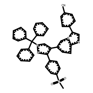 CS(=O)(=O)c1ccc(-c2nn(C(c3ccccc3)(c3ccccc3)c3ccccc3)cc2-c2ccc3ncc(-c4ccc(C#N)cc4)n3c2)cc1